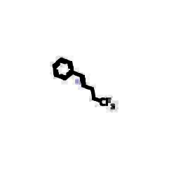 FC(F)(F)CC/C=C/c1ccccc1